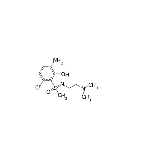 CN(C)CCN=S(C)(=O)c1c(Cl)ccc(N)c1O